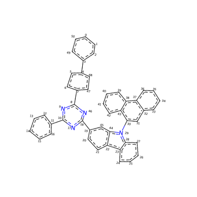 c1ccc(-c2ccc(-c3nc(-c4ccccc4)nc(-c4ccc5c6ccccc6n(-c6cc7ccccc7c7ccccc67)c5c4)n3)cc2)cc1